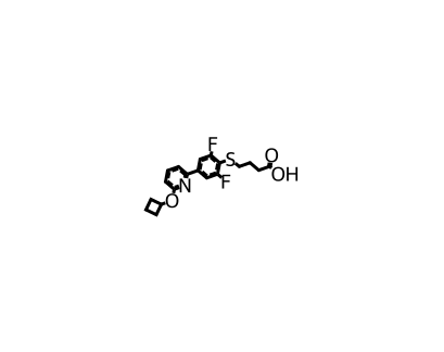 O=C(O)CCCSc1c(F)cc(-c2cccc(OC3CCC3)n2)cc1F